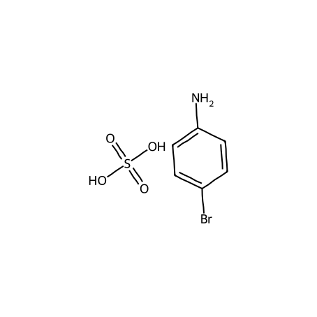 Nc1ccc(Br)cc1.O=S(=O)(O)O